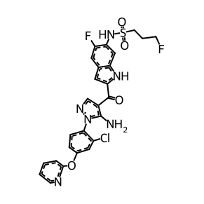 Nc1c(C(=O)c2cc3cc(F)c(NS(=O)(=O)CCCF)cc3[nH]2)cnn1-c1ccc(Oc2ccccn2)cc1Cl